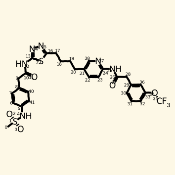 CS(=O)(=O)Nc1ccc(CC(=O)Nc2nnc(CCCCc3ccc(NC(=O)Cc4cccc(OC(F)(F)F)c4)nc3)s2)cc1